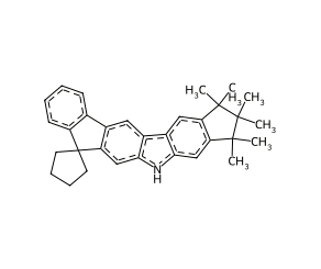 CC1(C)c2cc3[nH]c4cc5c(cc4c3cc2C(C)(C)C1(C)C)-c1ccccc1C51CCCC1